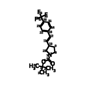 CC(C)(C)OC(=O)N1CCC(C=Cc2ccc(C(F)(F)F)cc2)C1